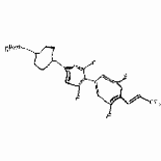 CCCCCC1CCC(c2cc(F)c(-c3cc(F)c(/C=C/C(F)(F)F)c(F)c3)c(F)c2)CC1